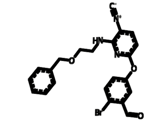 [C-]#[N+]c1ccc(Oc2ccc(Br)c(C=O)c2)nc1NCCOCc1ccccc1